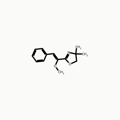 COC(=Cc1ccccc1)C1=NC(C)(C)CO1